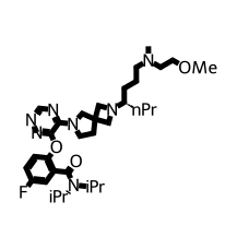 CCC[C@@H](CCCN(C)CCOC)N1CC2(CCN(c3ncnnc3Oc3ccc(F)cc3C(=O)N(C(C)C)C(C)C)C2)C1